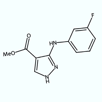 COC(=O)c1c[nH]nc1Nc1cccc(F)c1